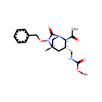 COC(=O)[C@H]1[C@H](CNC(=O)OC(C)(C)C)C[C@H]2CN1C(=O)N2OCc1ccccc1